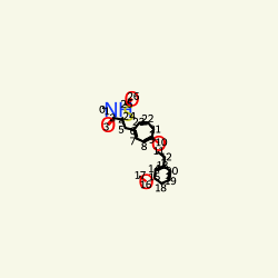 CNC(=O)C(CC1=CC=C(OCCC2=CC(OC)CC=C2)CC=C1)SC=O